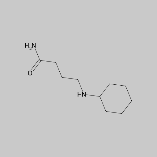 NC(=O)CCCNC1CCCCC1